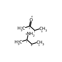 CCC(C)=O.CCC(C)N